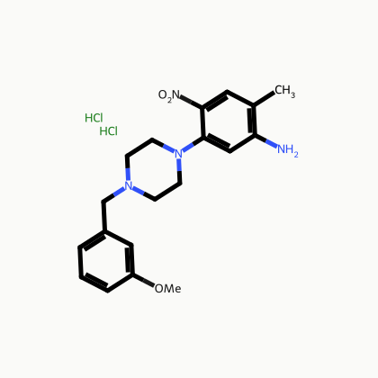 COc1cccc(CN2CCN(c3cc(N)c(C)cc3[N+](=O)[O-])CC2)c1.Cl.Cl